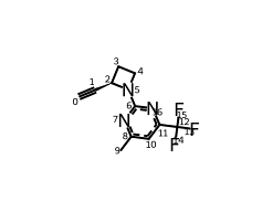 C#C[C@H]1CCN1c1nc(C)cc(C(F)(F)F)n1